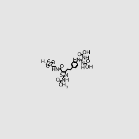 CC(=O)Nc1nc(CCc2ccc(NC(NC(=O)O)NC(=O)O)cc2)c(C(=O)NCCS(C)(=O)=O)s1